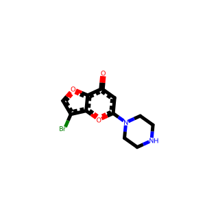 O=c1cc(N2CCNCC2)oc2c(Br)coc12